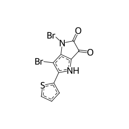 O=C1C(=O)N(Br)c2c1[nH]c(-c1cccs1)c2Br